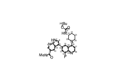 CNC(=O)c1cnc2[nH]cc(-c3cc(F)c4nccc(N5CCC[C@@H](NC(=O)OC(C)(C)C)C5)c4c3)c2c1